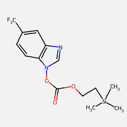 C[Si](C)(C)CCOC(=O)On1cnc2cc(C(F)(F)F)ccc21